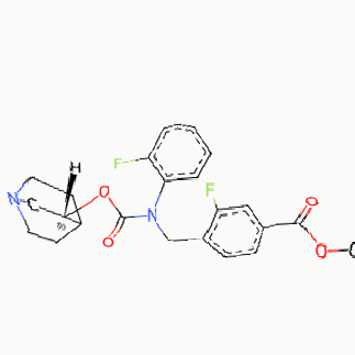 COC(=O)c1ccc(CN(C(=O)O[C@H]2CN3CCC2CC3)c2ccccc2F)c(F)c1